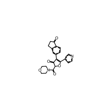 O=C1CCc2cc(C3=C(c4ccncc4)OC(C(=O)N4CCOCC4)C3=O)ccc21